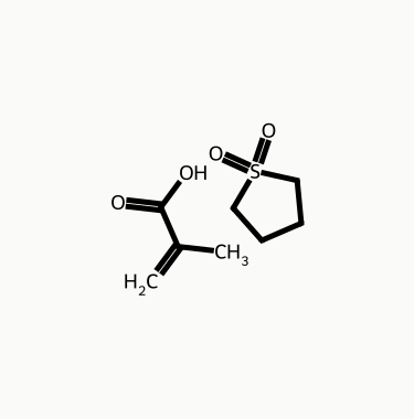 C=C(C)C(=O)O.O=S1(=O)CCCC1